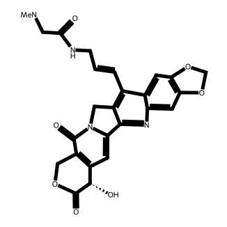 CNCC(=O)NC/C=C/c1c2c(nc3cc4c(cc13)OCO4)-c1cc3c(c(=O)n1C2)COC(=O)[C@H]3O